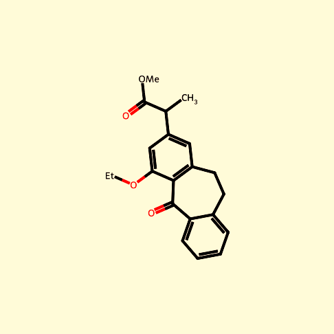 CCOc1cc(C(C)C(=O)OC)cc2c1C(=O)c1ccccc1CC2